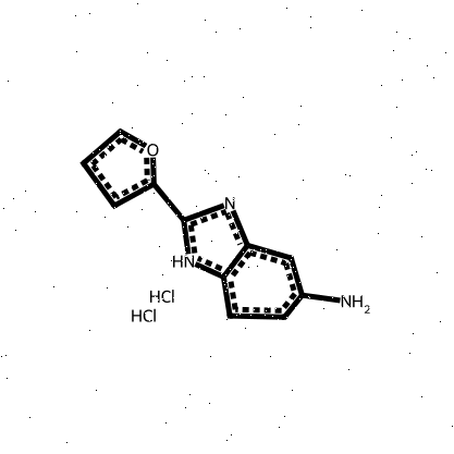 Cl.Cl.Nc1ccc2[nH]c(-c3ccco3)nc2c1